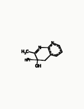 CCCC1(O)Cc2cccnc2N=C1C